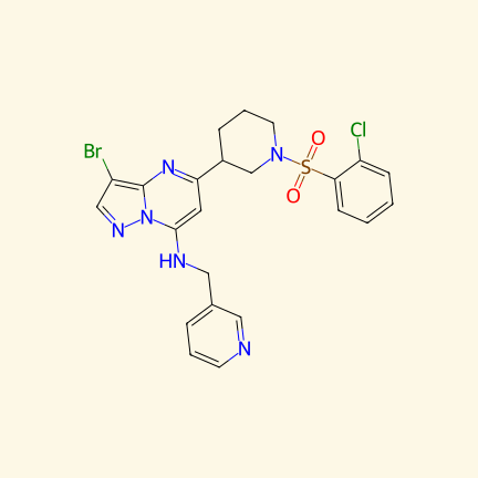 O=S(=O)(c1ccccc1Cl)N1CCCC(c2cc(NCc3cccnc3)n3ncc(Br)c3n2)C1